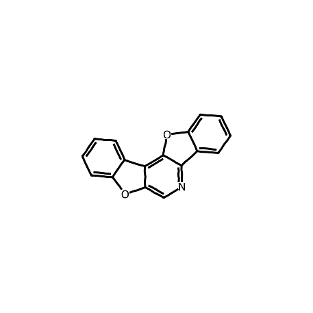 c1ccc2c(c1)oc1c2ncc2oc3ccccc3c21